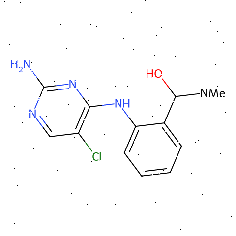 CNC(O)c1ccccc1Nc1nc(N)ncc1Cl